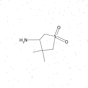 CC1(C)CS(=O)(=O)CC1N